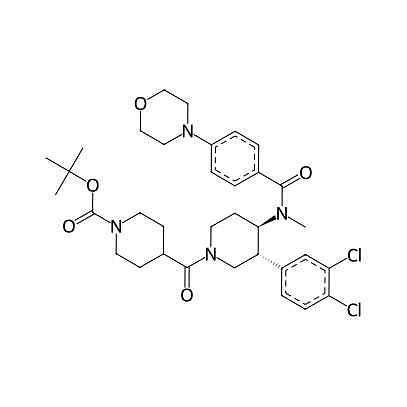 CN(C(=O)c1ccc(N2CCOCC2)cc1)[C@@H]1CCN(C(=O)C2CCN(C(=O)OC(C)(C)C)CC2)C[C@H]1c1ccc(Cl)c(Cl)c1